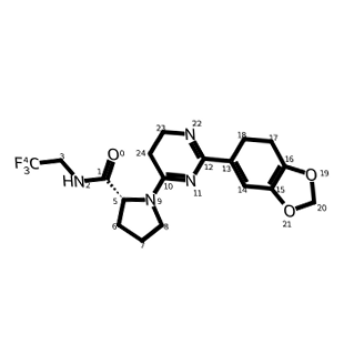 O=C(NCC(F)(F)F)[C@H]1CCCN1C1=NC(C2=CC3=C(CC2)OCO3)=NCC1